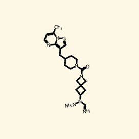 CNN(C=N)C1CC2(C1)CN(C(=O)N1CCC(Cc3cnn4c(C(F)(F)F)ccnc34)CC1)C2